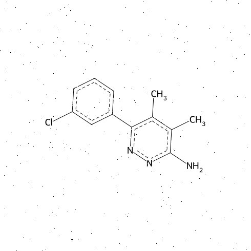 Cc1c(N)nnc(-c2cccc(Cl)c2)c1C